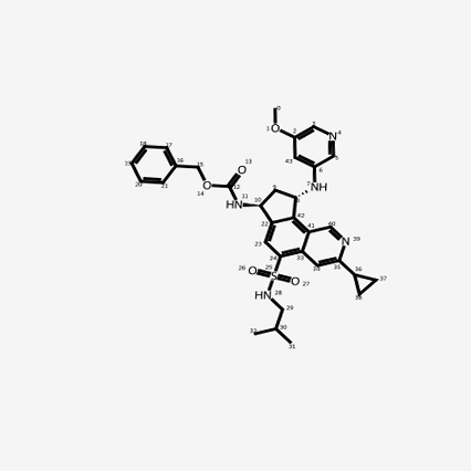 COc1cncc(N[C@H]2C[C@H](NC(=O)OCc3ccccc3)c3cc(S(=O)(=O)NCC(C)C)c4cc(C5CC5)ncc4c32)c1